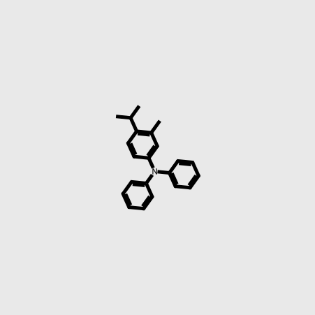 Cc1cc(N(c2ccccc2)c2ccccc2)ccc1C(C)C